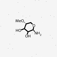 CO[C@@H]1CO[C@@H](N)C(O)C1O